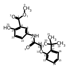 COC(=O)c1cc(NC(=O)COc2ccccc2C(C)(C)C)ccc1O